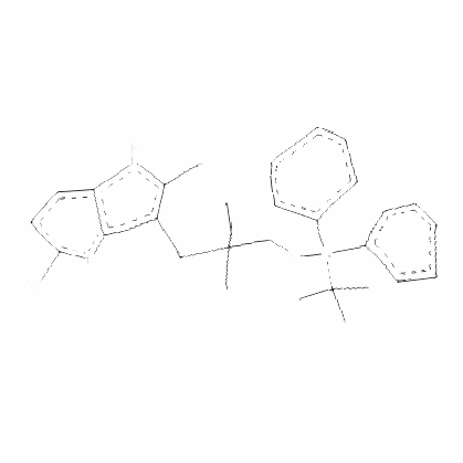 CC(C)(CO[Si](c1ccccc1)(c1ccccc1)C(C)(C)C)Cc1c(I)[nH]c2ccc(Br)nc12